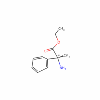 CCOC(=O)[C@](C)(N)c1ccccc1